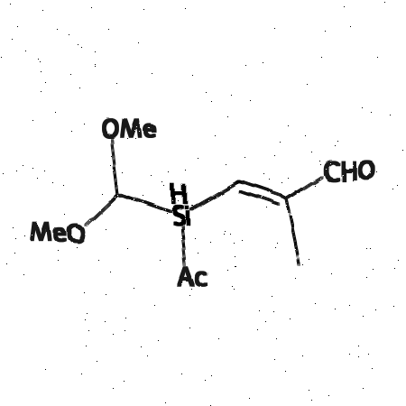 COC(OC)[SiH](C=C(C)C=O)C(C)=O